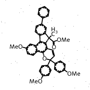 COC(=O)C1(C)c2cc(-c3ccccc3)ccc2-c2c1c1c(c3ccc(OC)cc23)OC(c2ccc(OC)cc2)(c2ccc(OC)cc2)C=C1